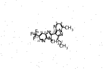 CCSc1nn2c(C)ccnc2c1-c1nc2cc(C(F)(F)F)cnc2n1C